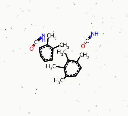 Cc1ccc(C)c(C)c1C.Cc1ccccc1C.N=C=O.N=C=O